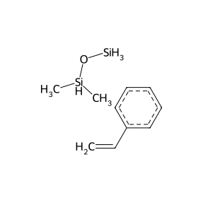 C=Cc1ccccc1.C[SiH](C)O[SiH3]